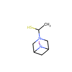 CC(S)N1CC2CC(C1)N2I